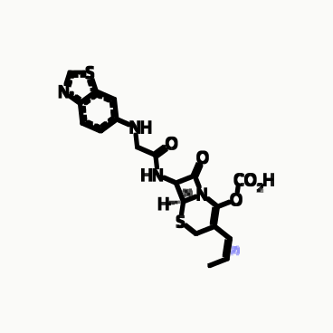 C/C=C\C1=C(OC(=O)O)N2C(=O)C(NC(=O)CNc3ccc4ncsc4c3)[C@@H]2SC1